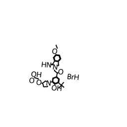 Br.CCOc1ccc2c(c1)C(=N)N(CC(=O)c1cc(N3CCC(OCC(=O)O)C3)c(O)c(C(C)(C)C)c1)C2